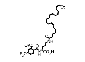 CC/C=C\C/C=C\C/C=C\C/C=C\C/C=C\C/C=C\CCC(=O)NCCCC(NC(=O)c1ccc(C(F)(F)F)cc1OC(C)=O)C(=O)O